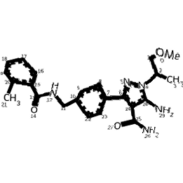 COCC(C)n1nc(-c2ccc(CNC(=O)c3ccccc3C)cc2)c(C(N)=O)c1N